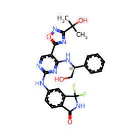 CC(C)(O)c1noc(-c2cnc(Nc3ccc4c(c3)C(F)(F)NC4=O)nc2N[C@H](CO)c2ccccc2)n1